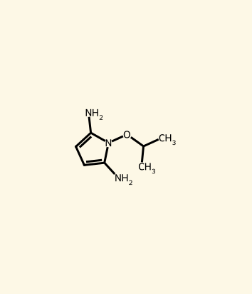 CC(C)On1c(N)ccc1N